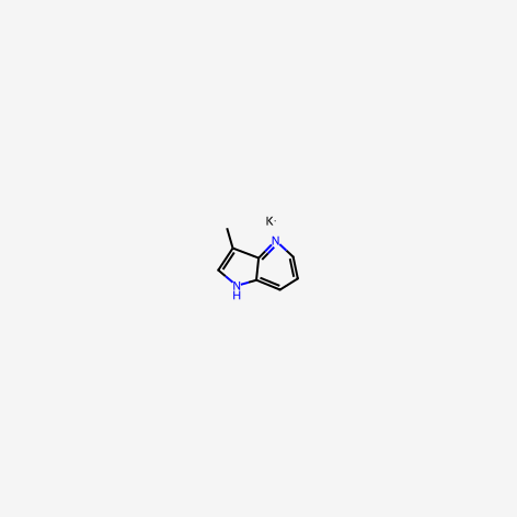 Cc1c[nH]c2cccnc12.[K]